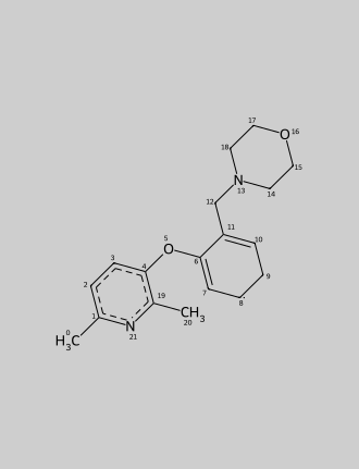 Cc1ccc(OC2=C[CH]CC=C2CN2CCOCC2)c(C)n1